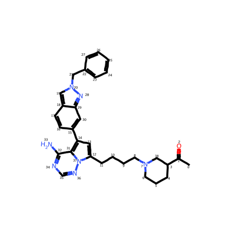 CC(=O)C1CCCN(CCCCc2cc(-c3ccc4cn(Cc5ccccc5)nc4c3)c3c(N)ncnn23)C1